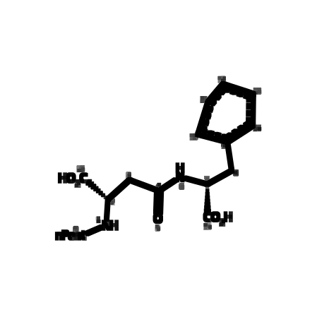 CCCCCN[C@@H](CC(=O)N[C@H](Cc1ccccc1)C(=O)O)C(=O)O